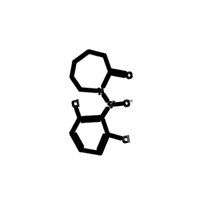 O=C1CCCCCN1[S+]([O-])c1c(Cl)cccc1Cl